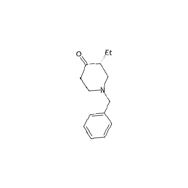 CC[C@@H]1CN(Cc2ccccc2)CCC1=O